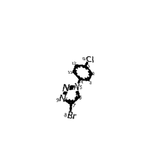 Clc1[c]cc(-n2cc(Br)nn2)cc1